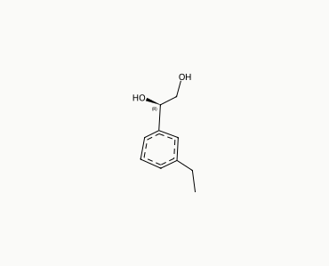 CCc1cccc([C@@H](O)CO)c1